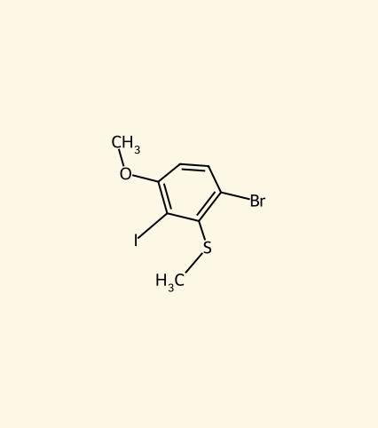 COc1ccc(Br)c(SC)c1I